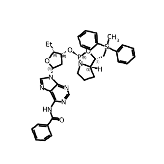 CC[C@H]1O[C@@H](n2cnc3c(NC(=O)c4ccccc4)ncnc32)C[C@H]1O[P@@]1O[C@H](C[Si](C)(c2ccccc2)c2ccccc2)[C@@H]2CCCN21